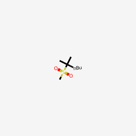 CCCCC(C)(C)S(C)(=O)=O